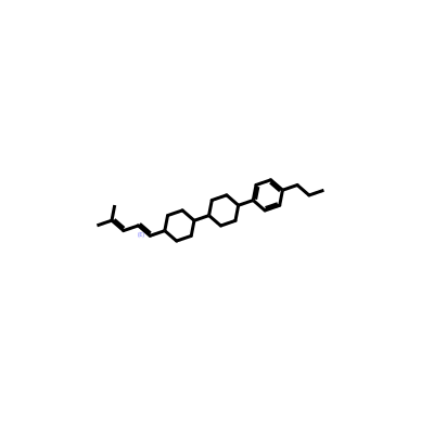 CCCc1ccc(C2CCC(C3CCC(/C=C/C=C(C)C)CC3)CC2)cc1